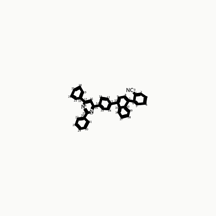 N#Cc1ccccc1-c1ccc(-c2ccc(-c3cc(-c4ccccc4)nc(-c4ccccc4)n3)cc2)c2ccccc12